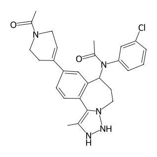 CC(=O)N1CC=C(c2ccc3c(c2)C(N(C(C)=O)c2cccc(Cl)c2)CCN2NNC(C)=C32)CC1